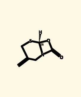 C=C1CS[C@H]2OC(=O)N2C1